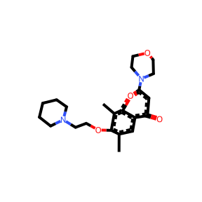 Cc1cc2c(=O)cc(N3CCOCC3)oc2c(C)c1OCCN1CCCCC1